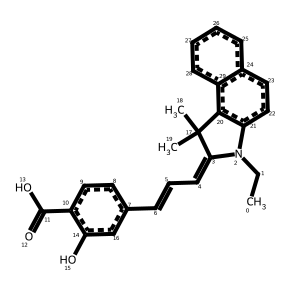 CCN1/C(=C/C=C/c2ccc(C(=O)O)c(O)c2)C(C)(C)c2c1ccc1ccccc21